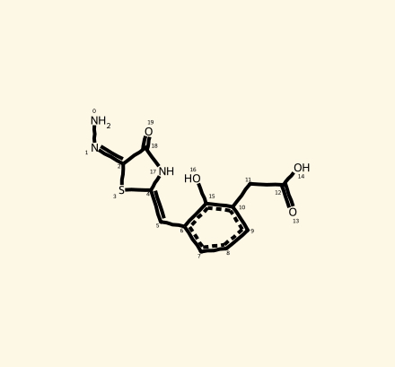 NN=C1SC(=Cc2cccc(CC(=O)O)c2O)NC1=O